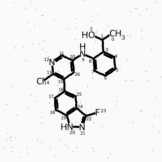 CC(O)c1ccccc1Nc1cnc(Cl)c(-c2ccc3[nH]nc(F)c3c2)c1